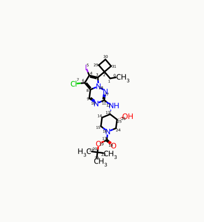 CCC1(c2c(I)c(Cl)c3cnc(N[C@H]4CCN(C(=O)OC(C)(C)C)C[C@H]4O)nn23)CCC1